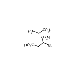 CCC(CC(=O)O)C(=O)O.NCC(=O)O